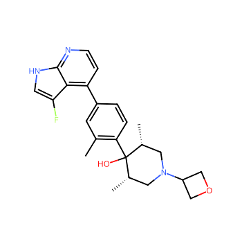 Cc1cc(-c2ccnc3[nH]cc(F)c23)ccc1C1(O)[C@H](C)CN(C2COC2)C[C@@H]1C